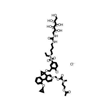 CCN(CCCCNC(=O)NC[C@H](O)[C@@H](O)[C@H](O)[C@H](O)CO)S(=O)(=O)c1ccc(Cl)c(COC2(c3c[n+](COC(=O)N(C)CCOC(C)=O)ccc3-c3ccccc3OC3CC3)CC2)c1.[Cl-]